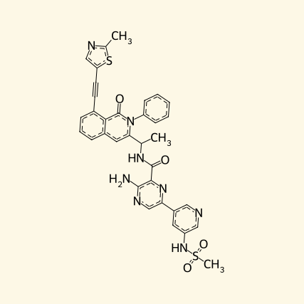 Cc1ncc(C#Cc2cccc3cc(C(C)NC(=O)c4nc(-c5cncc(NS(C)(=O)=O)c5)cnc4N)n(-c4ccccc4)c(=O)c23)s1